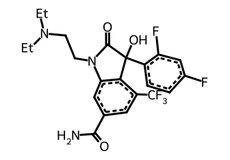 CCN(CC)CCN1C(=O)C(O)(c2ccc(F)cc2F)c2c1cc(C(N)=O)cc2C(F)(F)F